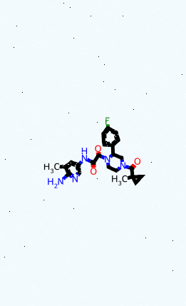 Cc1cc(NC(=O)C(=O)N2CCN(C(=O)C3(C)CC3)CC2c2ccc(F)cc2)cnc1N